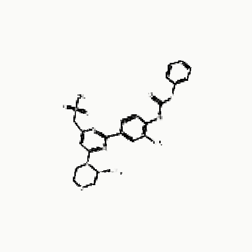 Cc1cc(-c2nc(CS(C)(=O)=O)cc(N3CCOC[C@@H]3C)n2)ccc1NC(=O)Oc1ccccc1